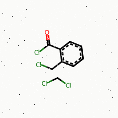 ClCCl.O=C(Cl)c1ccccc1CCl